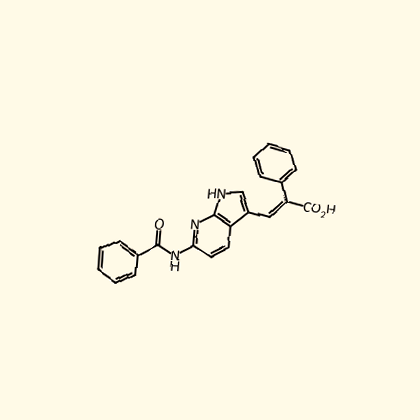 O=C(O)C(=Cc1c[nH]c2nc(NC(=O)c3ccccc3)ccc12)c1ccccc1